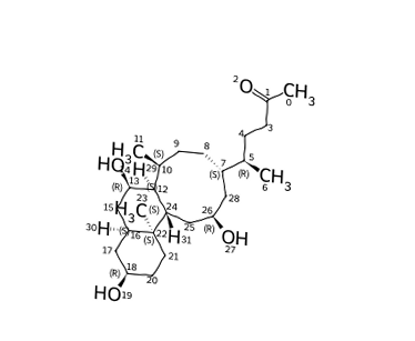 CC(=O)CC[C@@H](C)[C@H]1CC[C@H](C)[C@@H]2[C@H](O)C[C@@H]3C[C@H](O)CC[C@]3(C)[C@H]2C[C@H](O)C1